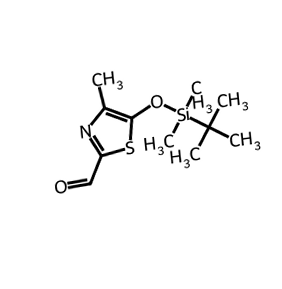 Cc1nc(C=O)sc1O[Si](C)(C)C(C)(C)C